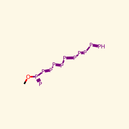 COP(#P)P=PP=PP=PP=PP=P